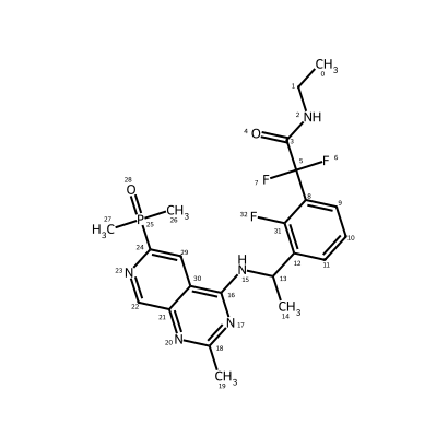 CCNC(=O)C(F)(F)c1cccc(C(C)Nc2nc(C)nc3cnc(P(C)(C)=O)cc23)c1F